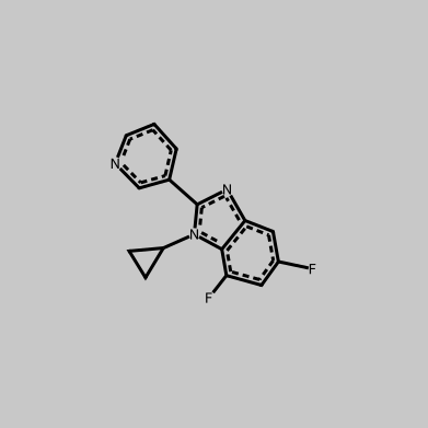 Fc1cc(F)c2c(c1)nc(-c1cccnc1)n2C1CC1